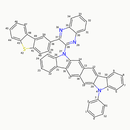 c1ccc(-n2c3ccccc3c3cc4cc5c(cc4cc32)c2ccccc2n5-c2nc3ccccc3nc2-c2ccc3sc4ccccc4c3c2)cc1